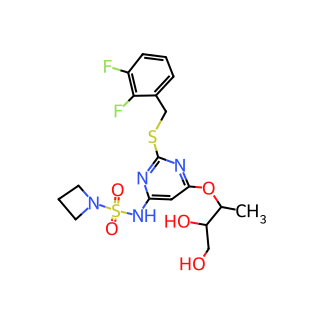 CC(Oc1cc(NS(=O)(=O)N2CCC2)nc(SCc2cccc(F)c2F)n1)C(O)CO